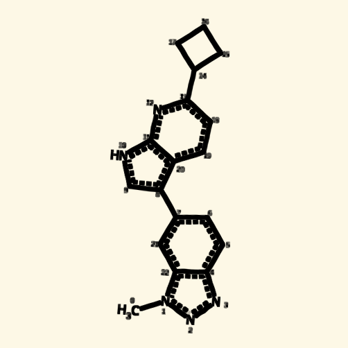 Cn1nnc2ccc(-c3c[nH]c4nc(C5CCC5)ccc34)cc21